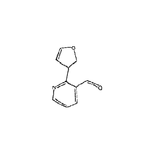 O=Cc1cccnc1C1C=COC1